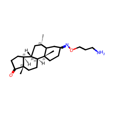 C[C@H]1C[C@@H]2[C@H](CC[C@]3(C)C(=O)CC[C@@H]23)[C@@]2(C)CCC(=NOCCCN)CC12